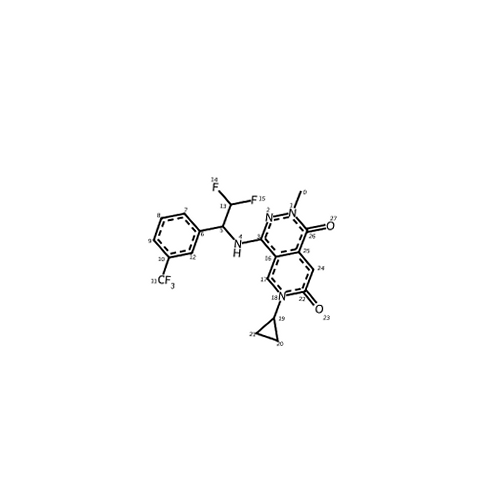 Cn1nc(NC(c2cccc(C(F)(F)F)c2)C(F)F)c2cn(C3CC3)c(=O)cc2c1=O